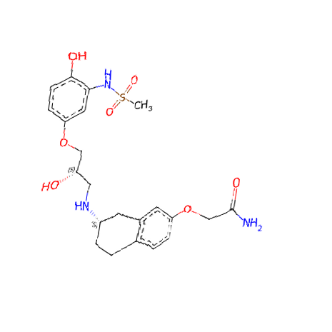 CS(=O)(=O)Nc1cc(OC[C@@H](O)CN[C@H]2CCc3ccc(OCC(N)=O)cc3C2)ccc1O